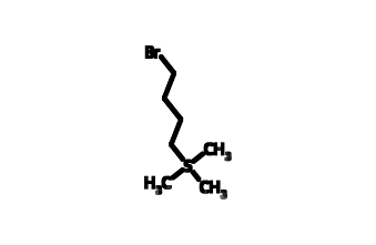 CS(C)(C)CCCCBr